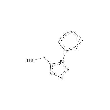 OCc1nnnn1-c1ccccc1